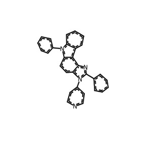 c1ccc(-c2nc3c4c5ccccc5n(-c5ccccc5)c4ccc3n2-c2ccncc2)cc1